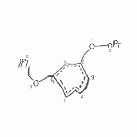 CCCOc1cccc(OC(C)C)c1